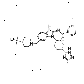 Cc1n[nH]c(C2CCC(n3/c(=N\C(=O)c4cccc(F)c4)[nH]c4ccc(CN5CCC(C(C)(C)O)CC5)cc43)CC2)n1